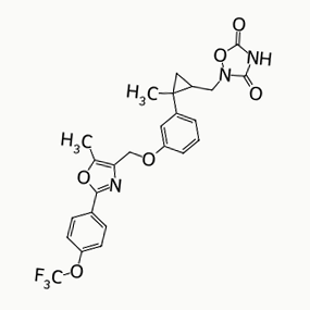 Cc1oc(-c2ccc(OC(F)(F)F)cc2)nc1COc1cccc(C2(C)CC2Cn2oc(=O)[nH]c2=O)c1